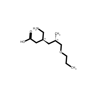 CCCOC[C@@H](C)C[C@H](CN)CC(=O)O